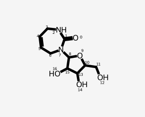 O=C1NCC=CCN1C1OC(CO)C(O)C1O